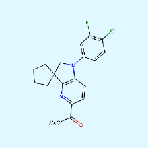 COC(=O)c1ccc2c(n1)C1(CCCC1)CN2c1ccc(Cl)c(F)c1